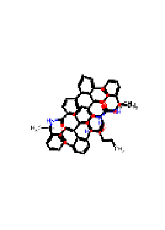 CCCC(=O)Nc1c(-c2cccc3cccc(-c4ccc(C(=O)N[C@H](C)c5ccccc5)cc4)c23)ccc(-c2cccc3cccc(-c4ccc(C(=O)N[C@H](C)c5ccccc5)cc4)c23)c1NC(=O)CCC